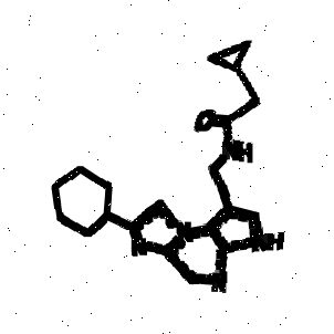 O=C(CC1CC1)NCc1c[nH]c2ncc3nc(C4CCCCC4)cn3c12